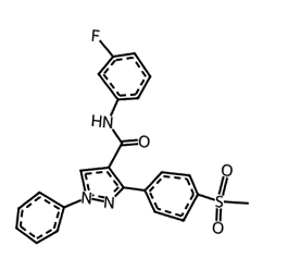 CS(=O)(=O)c1ccc(-c2nn(-c3ccccc3)cc2C(=O)Nc2cccc(F)c2)cc1